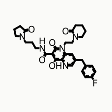 O=C(NCCCN1CCCC1=O)c1c(O)c2ncc(Cc3ccc(F)cc3)cc2n(CCN2CCCCC2=O)c1=O